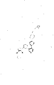 CCOC(=O)c1cnn(C2CCCN(c3cc(Cl)ccc3-c3ccc(N4CCN(COCC5CCC5)CC4)cc3)C2)c1C(F)(F)F